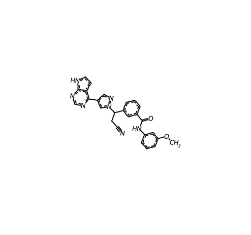 COc1cccc(NC(=O)c2cccc(C(CC#N)n3cc(-c4ncnc5[nH]ccc45)cn3)c2)c1